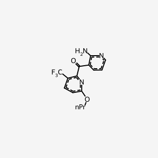 CCCOc1ccc(C(F)(F)F)c(C(=O)c2cccnc2N)n1